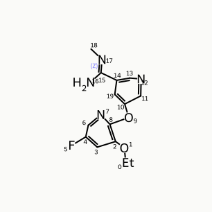 CCOc1cc(F)cnc1Oc1cncc(/C(N)=N/C)c1